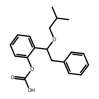 CC(C)COC(Cc1ccccc1)c1ccccc1OC(=O)O